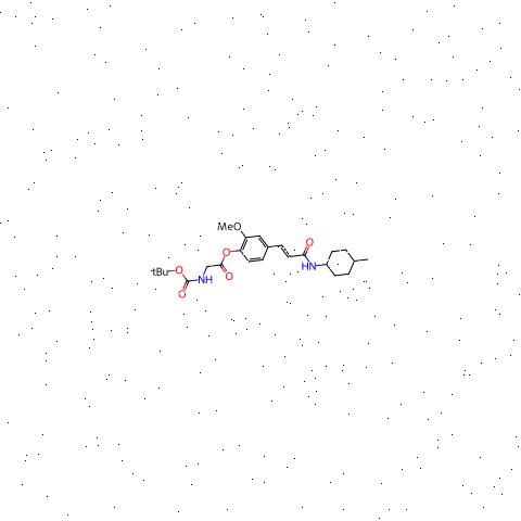 COc1cc(C=CC(=O)NC2CCC(C)CC2)ccc1OC(=O)CNC(=O)OC(C)(C)C